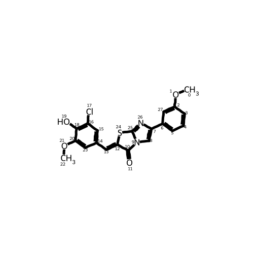 COc1cccc(-c2cn3c(=O)/c(=C/c4cc(Cl)c(O)c(OC)c4)sc3n2)c1